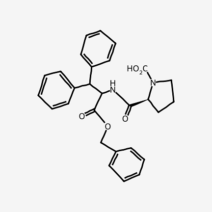 O=C(OCc1ccccc1)C(NC(=O)[C@@H]1CCCN1C(=O)O)C(c1ccccc1)c1ccccc1